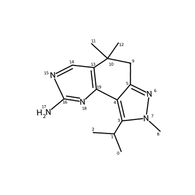 CC(C)c1c2c(nn1C)CC(C)(C)c1cnc(N)nc1-2